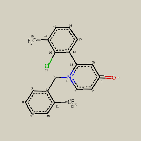 O=c1ccn(Cc2ccccc2C(F)(F)F)c(-c2cccc(C(F)(F)F)c2Cl)c1